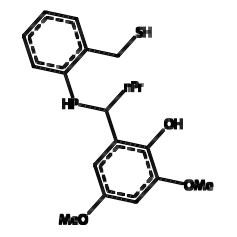 CCCC(Pc1ccccc1CS)c1cc(OC)cc(OC)c1O